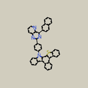 c1ccc2cc(-c3nc(-c4ccc(-n5c6ccccc6c6c7ccccc7c7c8ccccc8sc7c65)cc4)nc4cccnc34)ccc2c1